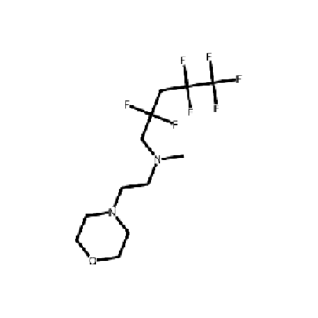 CN(CCN1CCOCC1)CC(F)(F)CC(F)(F)C(F)(F)F